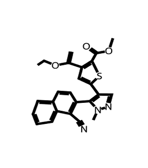 C=C(OCC)c1cc(-c2cnn(C)c2-c2ccc3ccccc3c2C#N)sc1C(=O)OC